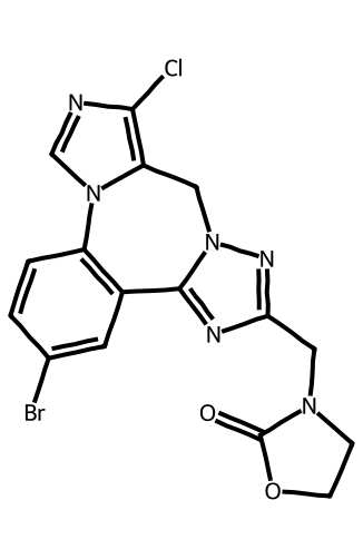 O=C1OCCN1Cc1nc2n(n1)Cc1c(Cl)ncn1-c1ccc(Br)cc1-2